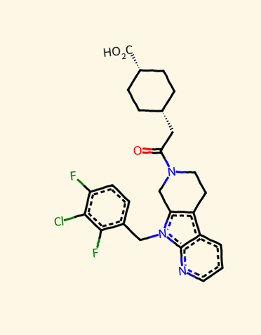 O=C(C[C@H]1CC[C@@H](C(=O)O)CC1)N1CCc2c(n(Cc3ccc(F)c(Cl)c3F)c3ncccc23)C1